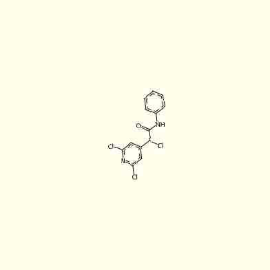 O=C(Nc1ccccc1)C(Cl)c1cc(Cl)nc(Cl)c1